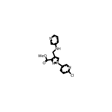 COC(=O)c1nn(-c2ccc(Cl)nc2)cc1CNc1cccnc1